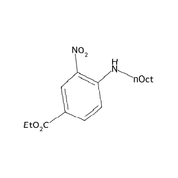 CCCCCCCCNc1ccc(C(=O)OCC)cc1[N+](=O)[O-]